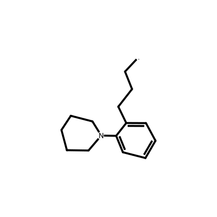 [CH2]CCCc1ccccc1N1CCCCC1